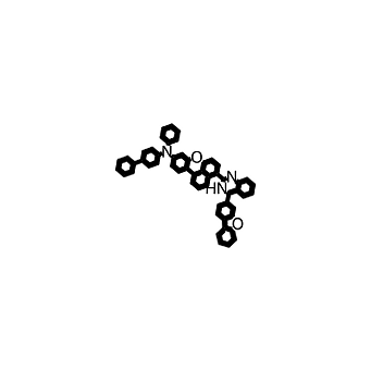 c1ccc(-c2ccc(N(c3ccccc3)c3ccc4c(c3)Oc3ccc(C5N=c6ccccc6=C(c6ccc7c(c6)oc6ccccc67)N5)c5cccc-4c35)cc2)cc1